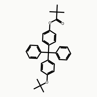 CC(C)(C)Oc1ccc(C(c2ccccc2)(c2ccccc2)c2ccc(OC(=O)C(C)(C)C)cc2)cc1